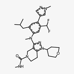 CNC(=O)N1CCc2c(c(N(C)c3cc(C(F)F)c(-c4cnn(C)c4)cc3CC(C)C)nn2C2CCOCC2)C1